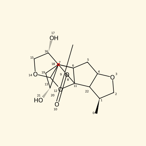 C[C@@H]1COC2CC34C5OC(=O)C3(OC3OC[C@H](O)C34C[C@H]5O)C21